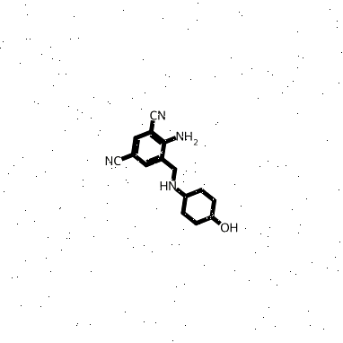 N#Cc1cc(C#N)c(N)c(CNC2CCC(O)CC2)c1